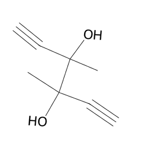 C#CC(C)(O)C(C)(O)C#C